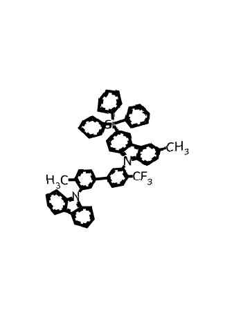 Cc1ccc2c(c1)c1cc([Si](c3ccccc3)(c3ccccc3)c3ccccc3)ccc1n2-c1cc(-c2ccc(C)c(-n3c4ccccc4c4ccccc43)c2)ccc1C(F)(F)F